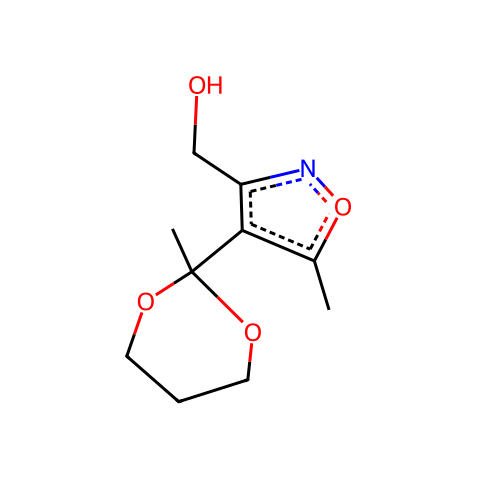 Cc1onc(CO)c1C1(C)OCCCO1